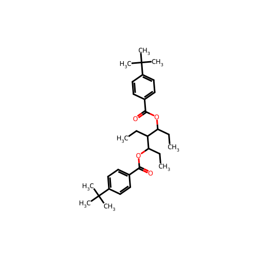 CCC(OC(=O)c1ccc(C(C)(C)C)cc1)C(CC)C(CC)OC(=O)c1ccc(C(C)(C)C)cc1